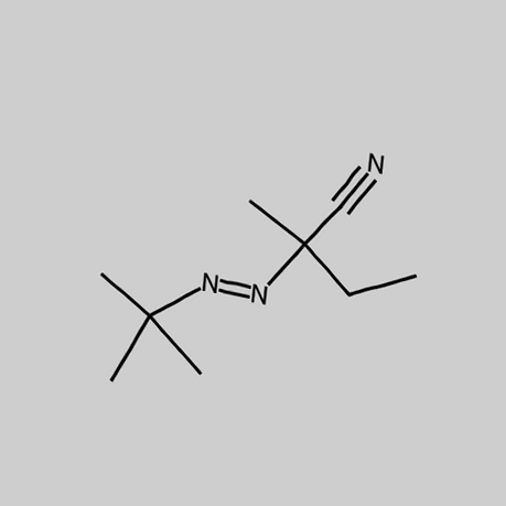 CCC(C)(C#N)N=NC(C)(C)C